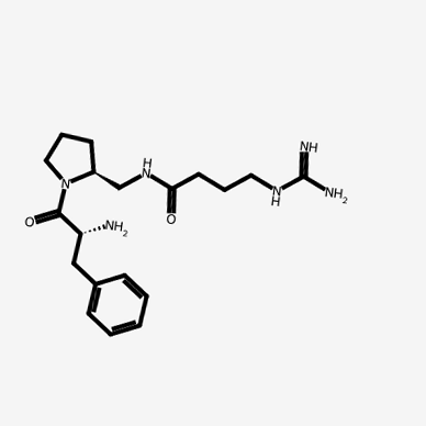 N=C(N)NCCCC(=O)NC[C@@H]1CCCN1C(=O)[C@H](N)Cc1ccccc1